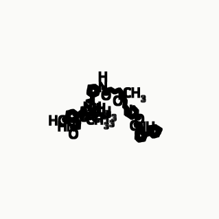 CN(CCCC(=O)Nc1cccc(CCNC[C@@H](O[Si](C)(C)C(C)(C)C)c2ccc(O)c3[nH]c(=O)ccc23)c1)C(=O)CCN1CCC(OC(=O)Nc2ccccc2-c2ccccc2)CC1